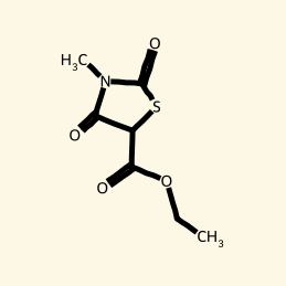 CCOC(=O)C1SC(=O)N(C)C1=O